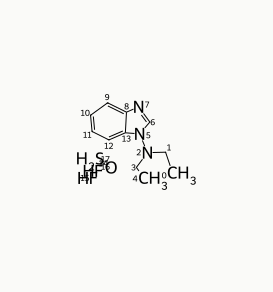 CCN(CC)n1cnc2ccccc21.F.F.O=[SH2]